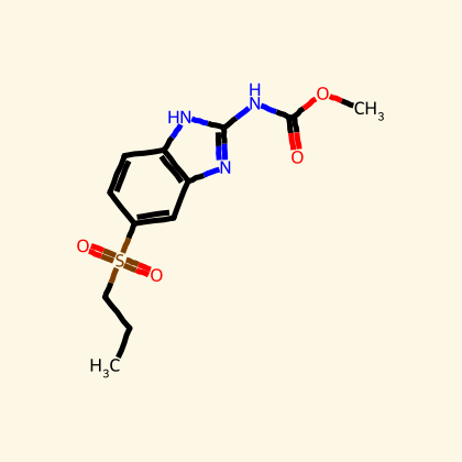 CCCS(=O)(=O)c1ccc2[nH]c(NC(=O)OC)nc2c1